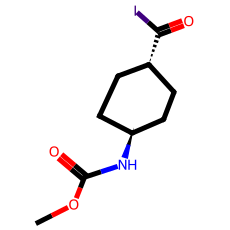 COC(=O)N[C@H]1CC[C@H](C(=O)I)CC1